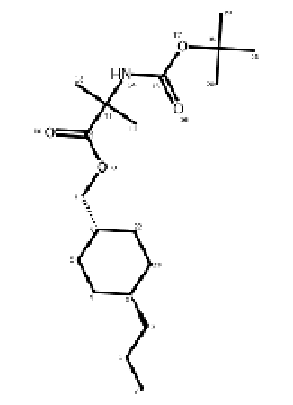 CCC[C@H]1CC[C@H](COC(=O)C(C)(C)NC(=O)OC(C)(C)C)CC1